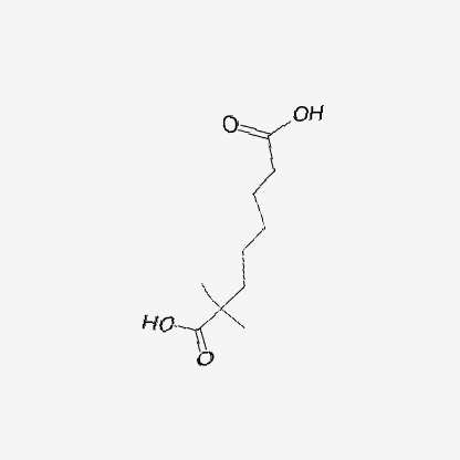 CC(C)(CCCCCC(=O)O)C(=O)O